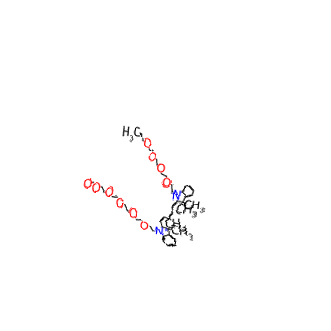 CCCOCCOCCOCCOCCN1/C(=C/C=C\C=C/C2=[N+](CCOCCOCCOCCOCCOC=O)c3ccccc3C2(C)C)C(C)(C)c2ccccc21